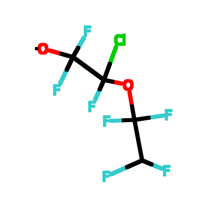 [O]C(F)(F)C(F)(Cl)OC(F)(F)C(F)F